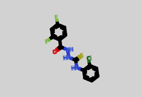 O=C(NNC(=S)Nc1ccccc1Cl)c1ccc(F)cc1F